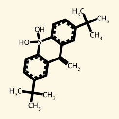 C=C1c2cc(C(C)(C)C)ccc2S(O)(O)c2ccc(C(C)(C)C)cc21